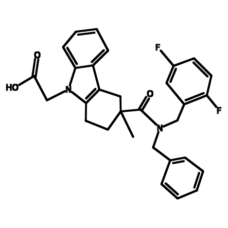 CC1(C(=O)N(Cc2ccccc2)Cc2cc(F)ccc2F)CCc2c(c3ccccc3n2CC(=O)O)C1